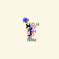 CNc1nc(C(=O)C(=O)NC2C(=O)N3C(C(=O)O)=C(CSc4nnnn4C)CS[C@@H]23)cs1